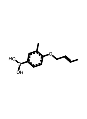 CC=CCOc1ccc(B(O)O)cc1C